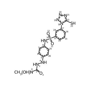 CN(O)C(=O)NNc1ccc(NS(=O)(=O)c2cccc(-n3nnnc3S)c2)cc1